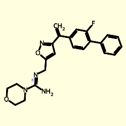 C=C(c1ccc(-c2ccccc2)c(F)c1)c1cc(C/N=C(\N)N2CCOCC2)on1